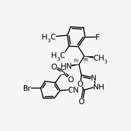 Cc1ccc(F)c([C@@H](C)[C@H](NS(=O)(=O)c2cc(Br)ccc2C#N)c2n[nH]c(=O)o2)c1C